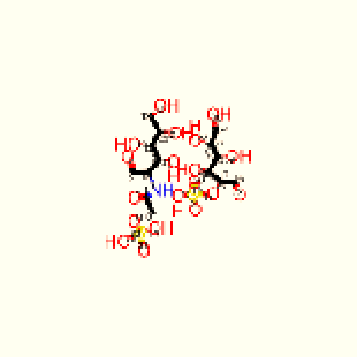 CC(=O)N[C@@H](C=O)[C@@H](O)[C@H](O)[C@H](O)CO.O=C[C@H](OS(=O)(=O)O)[C@@H](O)[C@@H](O)[C@H](O)CO.O=S(=O)(O)O